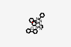 c1ccc(-c2nc(-c3ccccc3)nc(-n3ccnc3N(c3ccccc3)c3cccc4c3oc3ccccc34)n2)cc1